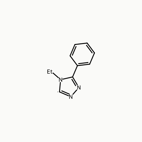 CCn1[c]nnc1-c1ccccc1